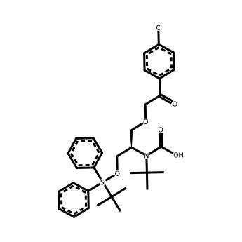 CC(C)(C)N(C(=O)O)[C@H](COCC(=O)c1ccc(Cl)cc1)CO[Si](c1ccccc1)(c1ccccc1)C(C)(C)C